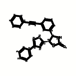 O=C1N[C@H](c2cccc(C#Cc3ccccc3)c2)[C@@H](c2nc(-c3ccncc3)no2)O1